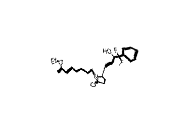 C=C(CCCCCCN1C(=O)CC[C@@H]1/C=C/[C@@H](O)C(F)(F)c1ccccc1)OCC